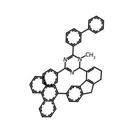 CN1C(c2cccc(-c3ccccc3)c2)=NC(c2ccccc2)=NC1C1=CCCC2=C1c1cc(-c3cc4ccccc4c4ccccc34)ccc1C2